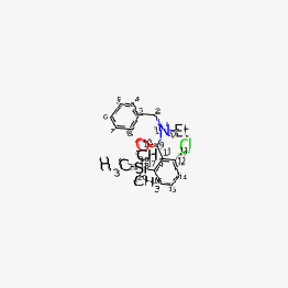 CCN(Cc1ccccc1)C(=O)c1c(Cl)cccc1[Si](C)(C)C